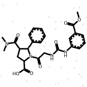 COC(=O)c1cccc(NC(=O)NCC(=O)N2C(C(=O)O)CC(C(=O)N(C)C)C2c2ccccc2)c1